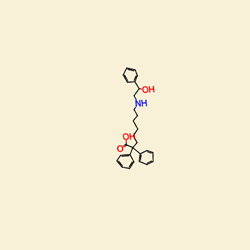 O=C(O)C(CCCCCCNCC(O)c1ccccc1)(c1ccccc1)c1ccccc1